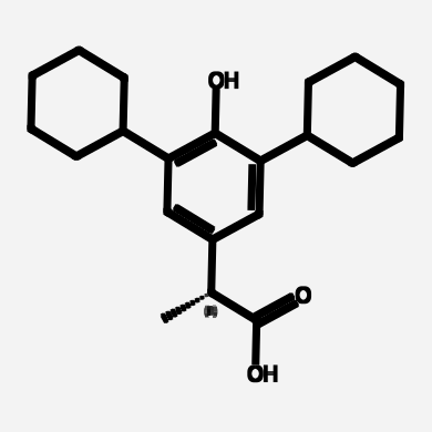 C[C@@H](C(=O)O)c1cc(C2CCCCC2)c(O)c(C2CCCCC2)c1